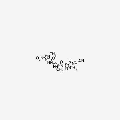 Cn1cc([N+](=O)[O-])nc1C(=O)Nc1cc(C(=O)Nc2cc(C(=O)NCCC#N)n(C)n2)n(C)n1